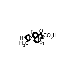 CCC1C=Cc2c(N3CCNC(C)C3)c(F)cc3c(=O)c(C(=O)O)cn1c23